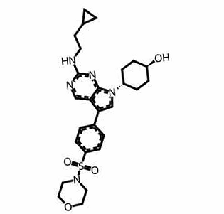 O=S(=O)(c1ccc(-c2cn([C@H]3CC[C@H](O)CC3)c3nc(NCCC4CC4)ncc23)cc1)N1CCOCC1